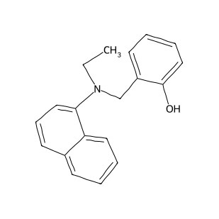 CCN(Cc1ccccc1O)c1cccc2ccccc12